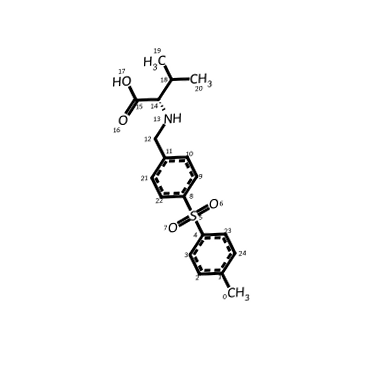 Cc1ccc(S(=O)(=O)c2ccc(CN[C@H](C(=O)O)C(C)C)cc2)cc1